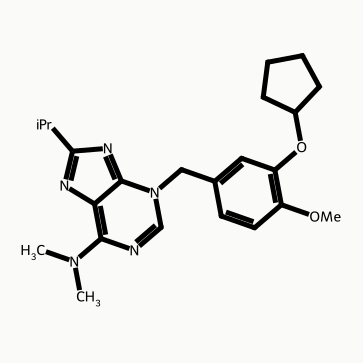 COc1ccc(Cn2cnc(N(C)C)c3nc(C(C)C)nc2-3)cc1OC1CCCC1